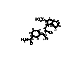 CCN(C(=O)Cn1c(C(=O)O)cc2sccc21)c1cccc(C(N)=O)c1